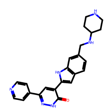 O=c1[nH]nc(-c2ccncc2)cc1-c1cc2ccc(CNC3CCNCC3)cc2[nH]1